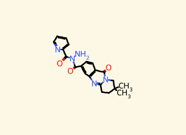 CC1(C)CCc2nc3cc(C(=O)N(N)C(=O)c4ccccn4)ccc3c(=O)n2C1